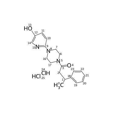 CC(CC(=O)N1CCN(c2ccc(O)cn2)CC1)c1ccccc1.Cl.Cl